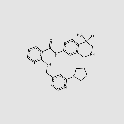 CC1(C)CNCc2cc(NC(=O)c3cccnc3NCc3ccnc(N4CCCC4)c3)ccc21